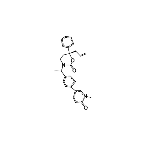 C=CC[C@]1(c2ccccc2)CCN([C@@H](C)c2ccc(-c3ccc(=O)n(C)c3)cc2)C(=O)O1